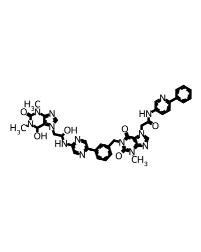 CN1C(=O)N(C)C(O)c2c1ncn2CC(O)Nc1cnc(-c2cccc(Cn3c(=O)c4c(ncn4CC(=O)Nc4ccc(-c5ccccc5)nc4)n(C)c3=O)c2)cn1